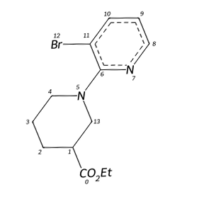 CCOC(=O)C1CCCN(c2ncccc2Br)C1